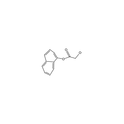 [O]CC(=O)Oc1cccc2ccccc12